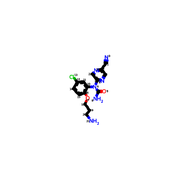 N#Cc1cnc(N(C(N)=O)c2cc(Cl)ccc2OCCCN)cn1